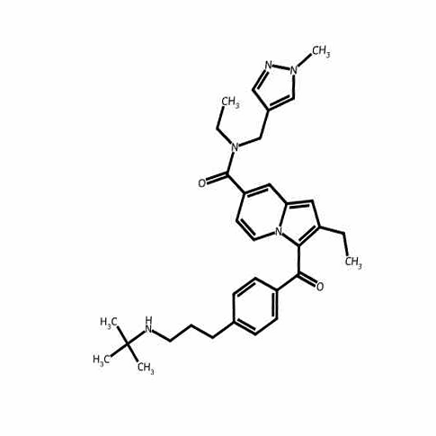 CCc1cc2cc(C(=O)N(CC)Cc3cnn(C)c3)ccn2c1C(=O)c1ccc(CCCNC(C)(C)C)cc1